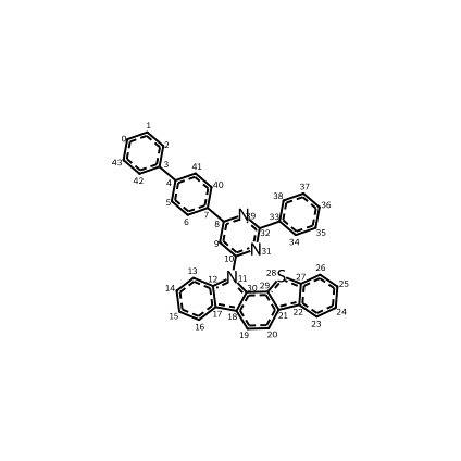 c1ccc(-c2ccc(-c3cc(-n4c5ccccc5c5ccc6c7ccccc7sc6c54)nc(-c4ccccc4)n3)cc2)cc1